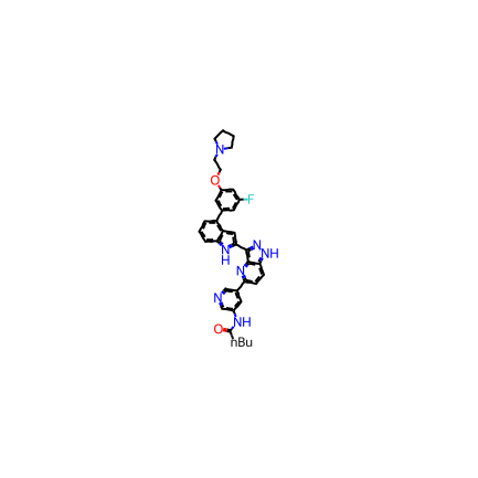 CCCCC(=O)Nc1cncc(-c2ccc3[nH]nc(-c4cc5c(-c6cc(F)cc(OCCN7CCCC7)c6)cccc5[nH]4)c3n2)c1